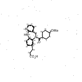 COC1CCC(C(=O)N2Cc3cccnc3Nc3ccc(CCC(=O)O)cc32)CC1